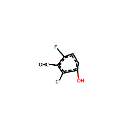 O=Cc1c(F)ccc(O)c1Cl